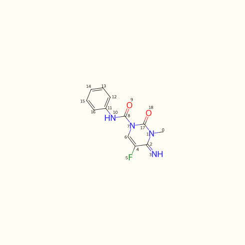 Cn1c(=N)c(F)cn(C(=O)Nc2ccccc2)c1=O